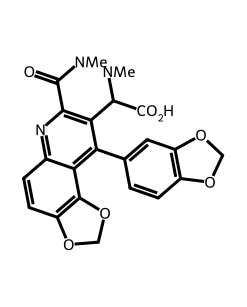 CNC(=O)c1nc2ccc3c(c2c(-c2ccc4c(c2)OCO4)c1C(NC)C(=O)O)OCO3